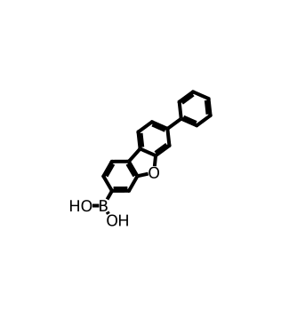 OB(O)c1ccc2c(c1)oc1cc(-c3ccccc3)ccc12